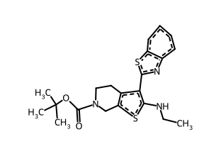 CCNc1sc2c(c1-c1nc3ccccc3s1)CCN(C(=O)OC(C)(C)C)C2